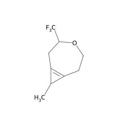 CC1C2=C1CC(C(F)(F)F)OCC2